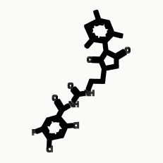 Cc1cc(C)c(C2C(=O)CC(CCNC(=O)NC(=O)c3cc(F)c(Cl)cc3Cl)C2=O)c(C)c1